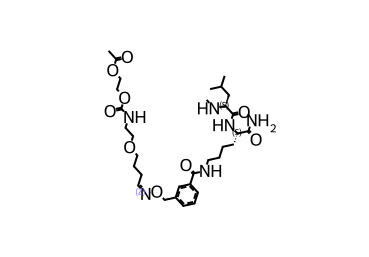 CN[C@@H](CC(C)C)C(=O)N[C@@H](CCCCNC(=O)c1cccc(CO/N=C\CCCOCCNC(=O)OCCOC(C)=O)c1)C(N)=O